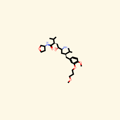 COCCCOc1cc(C[C@@H](C[C@H](N)[C@@H](O)C[C@H](C(=O)N[C@H]2CCOC2)C(C)C)C(C)C)ccc1OC